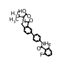 CC(C)[C@@H](C(=O)O)N1Cc2ccc(-c3ccc(NC(=O)c4c(F)cccc4F)cc3)cc2C1=O